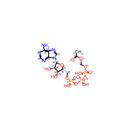 CC(=O)OCOP(=O)(O)OP(=O)(O)OP(=O)(O)OC[C@H]1O[C@@H](n2cnc3c(N)ncnc32)[C@H](O)[C@@H]1O